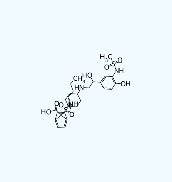 CCCCNS(=O)(=O)C1(C(=O)O)C2=CC=C1C(N1CCC(NCC(O)c3ccc(O)c(NS(C)(=O)=O)c3)CC1)=C2